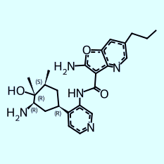 CCCc1cnc2c(C(=O)Nc3cnccc3[C@H]3C[C@@H](N)[C@](C)(O)[C@@H](C)C3)c(N)oc2c1